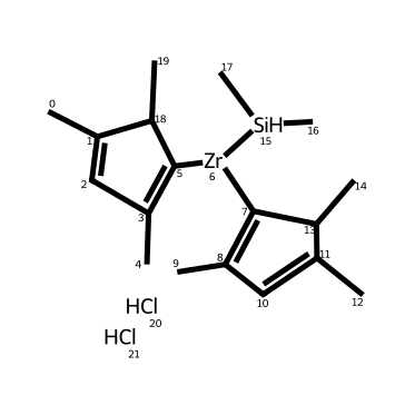 CC1=CC(C)=[C]([Zr]([C]2=C(C)C=C(C)C2C)[SiH](C)C)C1C.Cl.Cl